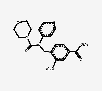 COC(=O)c1ccc(CN(C(=O)N2CCOCC2)c2ccccc2)c(OC)c1